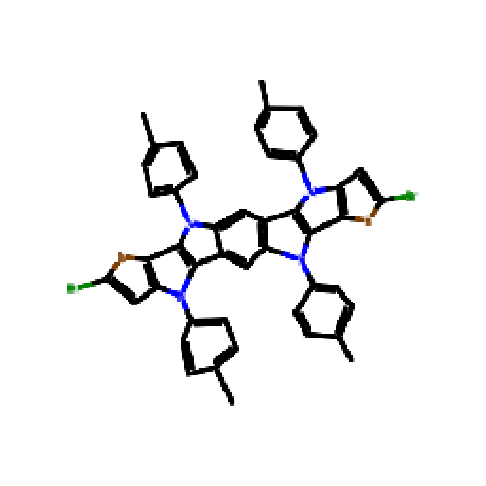 Cc1ccc(-n2c3cc(Br)sc3c3c2c2cc4c(cc2n3-c2ccc(C)cc2)c2c(c3sc(Br)cc3n2-c2ccc(C)cc2)n4-c2ccc(C)cc2)cc1